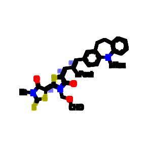 CCCCCCN1c2ccccc2CCc2cc(/C=C(/C=c3/s/c(=C4/SC(=S)N(CC)C4=O)n(COC=O)c3=O)CCCCC)ccc21